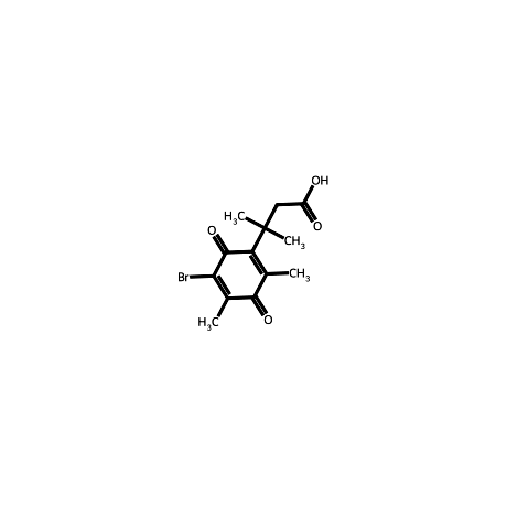 CC1=C(Br)C(=O)C(C(C)(C)CC(=O)O)=C(C)C1=O